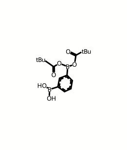 CC(C)(C)C(=O)OB(OC(=O)C(C)(C)C)c1cccc(B(O)O)c1